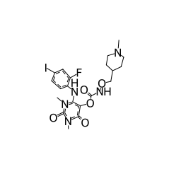 CN1CCC(CONC(=O)Oc2c(Nc3ccc(I)cc3F)n(C)c(=O)n(C)c2=O)CC1